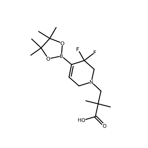 CC(C)(CN1CC=C(B2OC(C)(C)C(C)(C)O2)C(F)(F)C1)C(=O)O